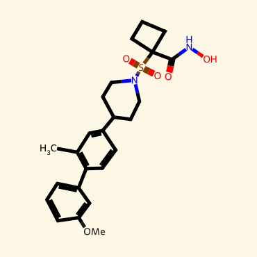 COc1cccc(-c2ccc(C3CCN(S(=O)(=O)C4(C(=O)NO)CCC4)CC3)cc2C)c1